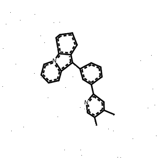 Cc1cnc(-c2cccc(-c3c4ccccc4n4ccccc34)c2)cc1C